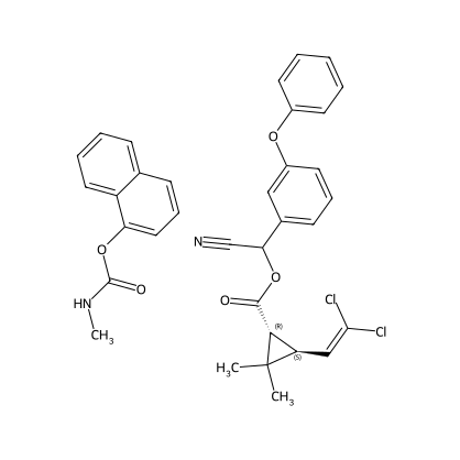 CC1(C)[C@H](C=C(Cl)Cl)[C@H]1C(=O)OC(C#N)c1cccc(Oc2ccccc2)c1.CNC(=O)Oc1cccc2ccccc12